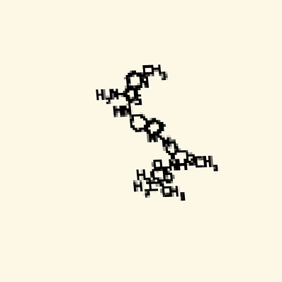 COCC1CN(c2ccc3c(n2)CC[C@H](Nc2sc4nc(C)ccc4c2N)C3)CC1NC(=O)OC(C)(C)C